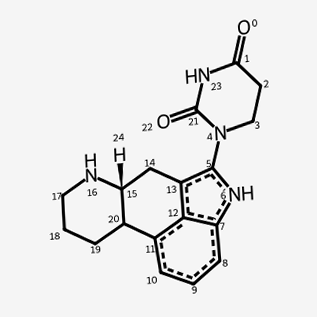 O=C1CCN(c2[nH]c3cccc4c3c2C[C@H]2NCCCC42)C(=O)N1